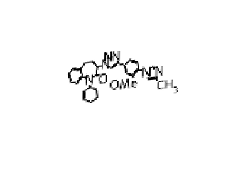 COc1cc(-c2cn(C3CCc4ccccc4N(C4C=CCCC4)C3=O)nn2)ccc1-n1cnc(C)c1